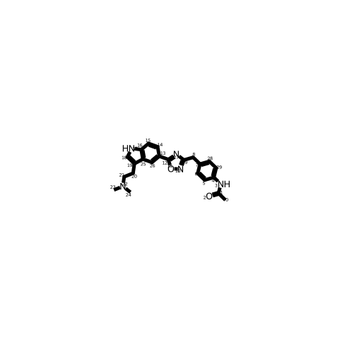 CC(=O)Nc1ccc(Cc2noc(-c3ccc4[nH]cc(CCN(C)C)c4c3)n2)cc1